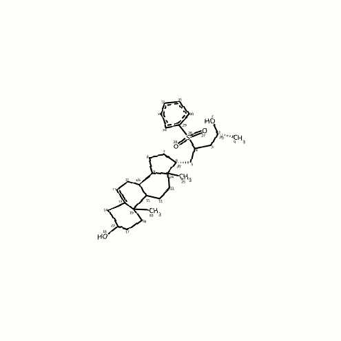 C[C@@H](O)CC(C[C@H]1CCC2C3CC=C4CC(O)CCC4(C)C3CCC21C)S(=O)(=O)c1ccccc1